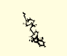 C=CCN1CCN(C(=O)CN2CCc3c([nH]c4ccccc34)C2)CC1